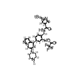 Cc1cc(-c2nc(N3CCN(C)CC3)cn3nccc23)ccc1CNC(=O)c1cn(C(C)(C)C)nn1.O=C(O)C(F)(F)F